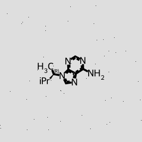 CC(C)[C@@H](C)n1cnc2c(N)ncnc21